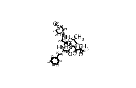 CC(C)C[C@H](NC(=O)[C@H](CCc1ccccc1)NC(=O)CNN1CC[S+]([O-])CC1)C(=O)[C@@]1(C)CO1